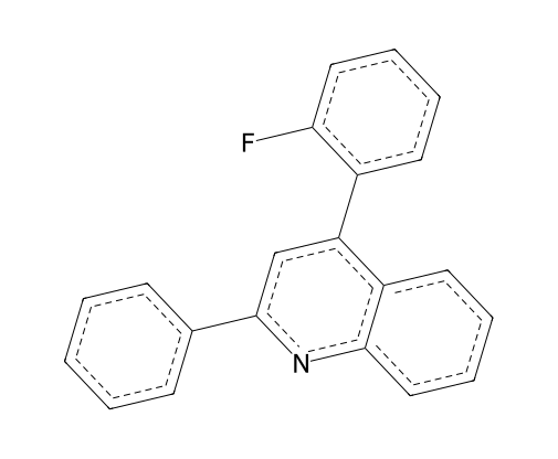 Fc1ccccc1-c1cc(-c2ccccc2)nc2ccccc12